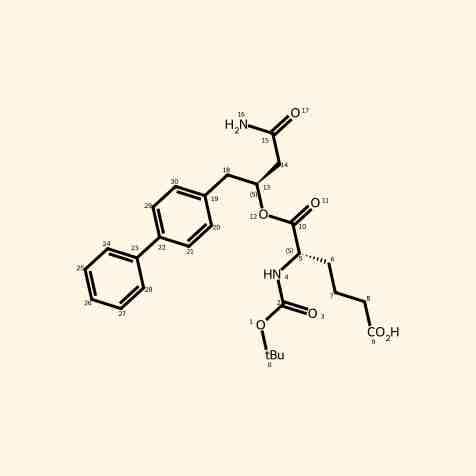 CC(C)(C)OC(=O)N[C@@H](CCCC(=O)O)C(=O)O[C@H](CC(N)=O)Cc1ccc(-c2ccccc2)cc1